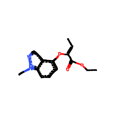 C/C=C(\Oc1cccc2c1cnn2C)C(=O)OCC